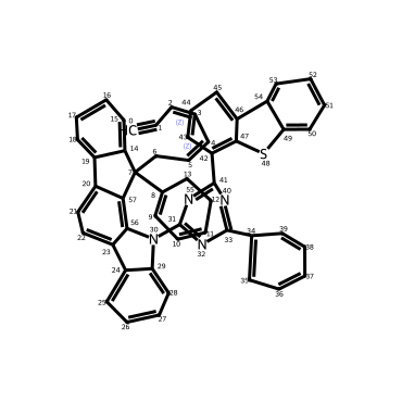 C#C/C=C\C=C/CC1(C2=CC=CCC2)c2ccccc2-c2ccc3c4ccccc4n(-c4nc(-c5ccccc5)nc(-c5cccc6c5sc5ccccc56)n4)c3c21